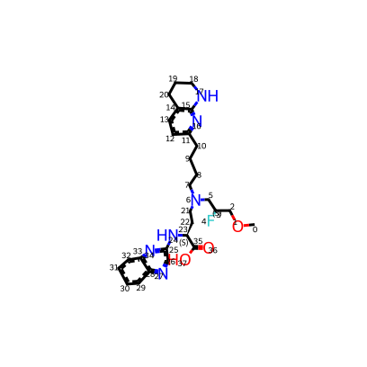 COC[C@@H](F)CN(CCCCc1ccc2c(n1)NCCC2)CC[C@H](Nc1cnc2ccccc2n1)C(=O)O